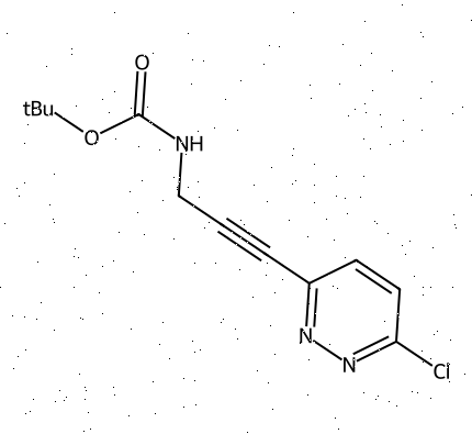 CC(C)(C)OC(=O)NCC#Cc1ccc(Cl)nn1